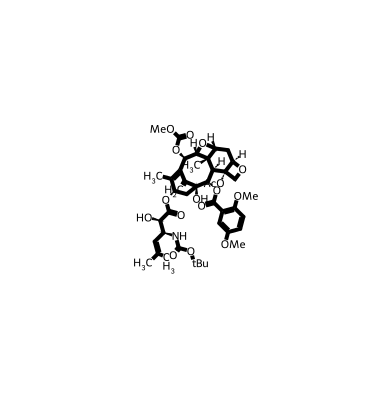 C=C1C2=C(C)[C@@H](OC(=O)[C@H](O)[C@H](C=C(C)C)NC(=O)OC(C)(C)C)C[C@@]1(O)[C@@H](OC(=O)c1cc(OC)ccc1OC)[C@@H]1[C@]3(OC(C)=O)CO[C@@H]3C[C@H]3O[C@@H]([C@@H]2OC(=O)OC)[C@@]13C